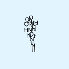 Cc1cnc(Nc2cnc(N3CC4CNCC4C3)c(F)c2)nc1Nn1c(=O)oc2ccccc21